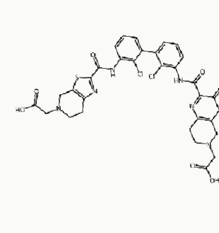 C=C1CC2=C(CCN(CC(=O)O)C2)N=C1C(=O)Nc1cccc(-c2cccc(NC(=O)c3nc4c(s3)CN(CC(=O)O)CC4)c2Cl)c1Cl